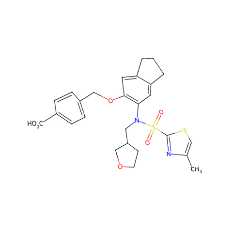 Cc1csc(S(=O)(=O)N(CC2CCOC2)c2cc3c(cc2OCc2ccc(C(=O)O)cc2)CCC3)n1